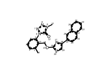 Cc1cccc(-n2nnn(C)c2=O)c1COc1nc(-c2ccc3ccccc3c2)cs1